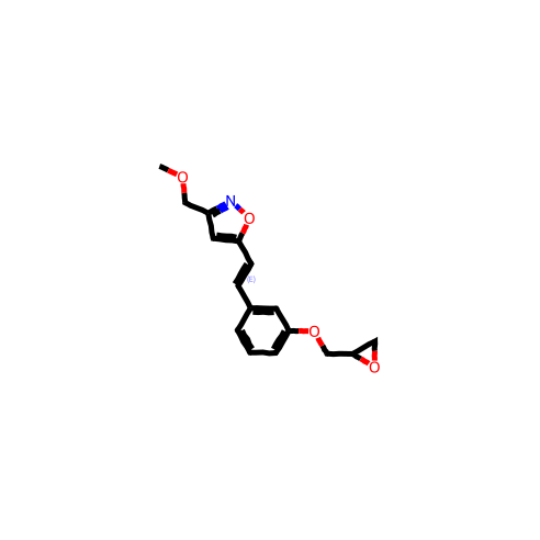 COCc1cc(/C=C/c2cccc(OCC3CO3)c2)on1